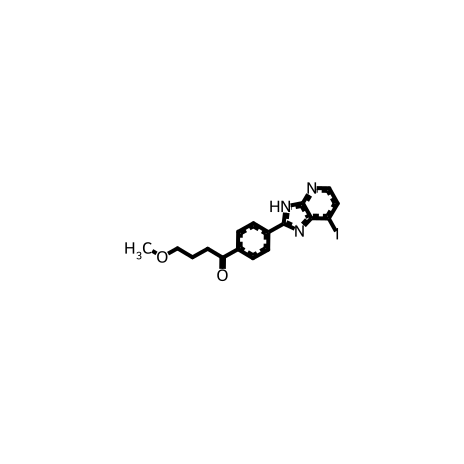 COCCCC(=O)c1ccc(-c2nc3c(I)ccnc3[nH]2)cc1